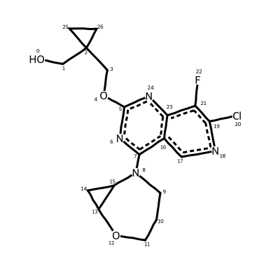 OCC1(COc2nc(N3CCCOC4CC43)c3cnc(Cl)c(F)c3n2)CC1